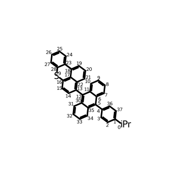 CC(C)c1ccc(-c2c3ccccc3c(-c3ccc4c5c(cccc35)-c3ccccc3S4)c3ccccc23)cc1